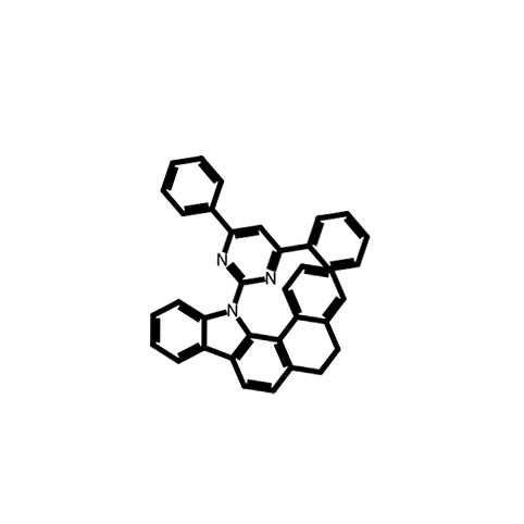 c1ccc(-c2cc(-c3ccccc3)nc(-n3c4ccccc4c4ccc5c(c43)-c3ccccc3CC5)n2)cc1